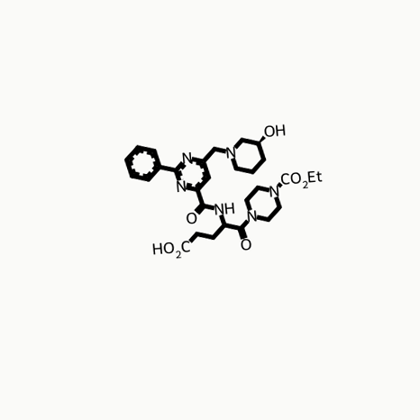 CCOC(=O)N1CCN(C(=O)C(CCC(=O)O)NC(=O)c2cc(CN3CCC[C@H](O)C3)nc(-c3ccccc3)n2)CC1